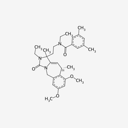 CCN(CCC1(C)C2=C[C@H](C)c3c(cc(OC)cc3OC)CN2C(=O)N1CC)C(=O)c1cc(C)cc(C)c1